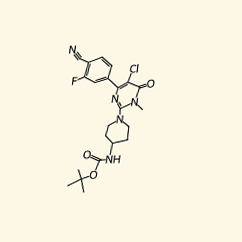 Cn1c(N2CCC(NC(=O)OC(C)(C)C)CC2)nc(-c2ccc(C#N)c(F)c2)c(Cl)c1=O